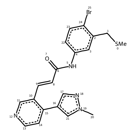 CSCc1cc(NC(=O)C=Cc2cnccc2-c2cnn(C)c2)ccc1Br